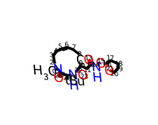 CN1CCCC=CCCCC(CC(=O)NO[C@H]2CCCCO2)C(=O)NC(C(C)(C)C)C1=O